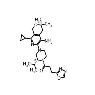 CC(C)[C@@H]1CN(c2nc(C3CC3)c3c(c2N)CC(C)(C)OC3)CCN1C(=O)CCc1nnco1